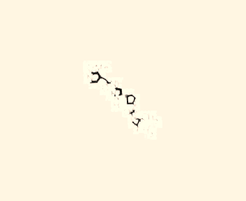 COc1cc(CC(=O)Nc2cc([C@@H]3CC[C@H](OC(=O)N4C[C@H](C)[C@@H]4C)C3)[nH]n2)ccn1